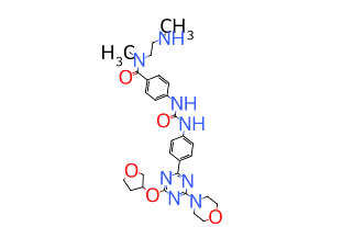 CNCCN(C)C(=O)c1ccc(NC(=O)Nc2ccc(-c3nc(OC4CCOC4)nc(N4CCOCC4)n3)cc2)cc1